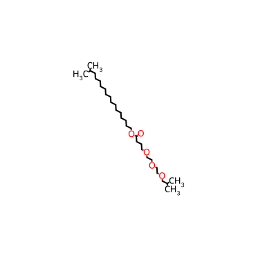 CC(C)CCCCCCCCCCCCCCCOC(=O)CCCOCCOCCOCC(C)C